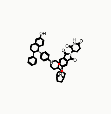 O=C1CCC(N2C(=O)c3ccc(N4CC5CCC(C4)N5CC4CCN(c5ccc([C@@H]6c7ccc(O)cc7CC[C@@H]6c6ccccc6)cc5)CC4)cc3C2=O)C(=O)N1